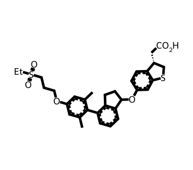 CCS(=O)(=O)CCCOc1cc(C)c(-c2cccc3c2CCC3Oc2ccc3c(c2)SC[C@H]3CC(=O)O)c(C)c1